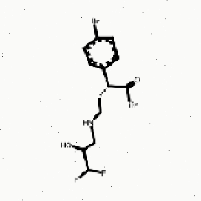 CC(C)C(=O)[C@H](CCNCC(O)C(F)F)c1ccc(Br)cc1